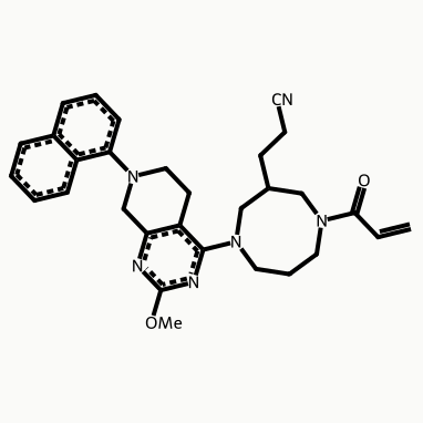 C=CC(=O)N1CCCN(c2nc(OC)nc3c2CCN(c2cccc4ccccc24)C3)CC(CCC#N)C1